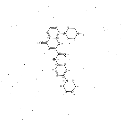 CN1CCN(c2cccc3c(=O)cc(C(=O)Nc4ccc(N5CCOCC5)cc4)oc23)CC1